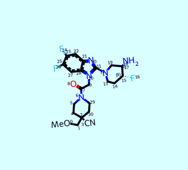 COCC1(C#N)CCN(C(=O)Cn2c(N3CC[C@@H](F)[C@H](N)C3)nc3cc(F)c(F)cc32)CC1